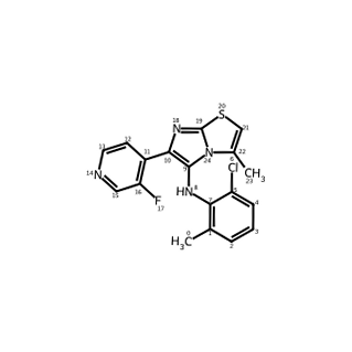 Cc1cccc(Cl)c1Nc1c(-c2ccncc2F)nc2scc(C)n12